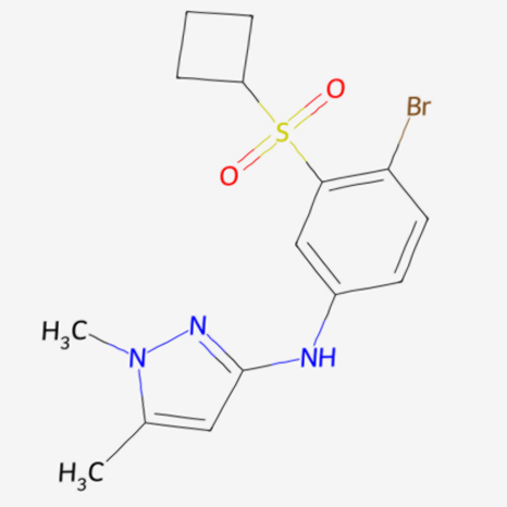 Cc1cc(Nc2ccc(Br)c(S(=O)(=O)C3CCC3)c2)nn1C